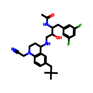 CC(=O)NC(Cc1cc(F)cc(F)c1)C(O)CNC1CCN(CC#N)c2ccc(CC(C)(C)C)cc21